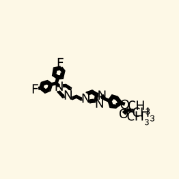 CC(C)(C)C(=O)Oc1ccc(-c2nc3ccn(CCCN4CCN(C(c5ccc(F)cc5)c5ccc(F)cc5)CC4)cc-3n2)cc1